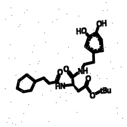 CC(C)(C)OC(=O)C[C@@H](NC(=O)CCC1CCCCC1)C(=O)NCCc1ccc(O)c(O)c1